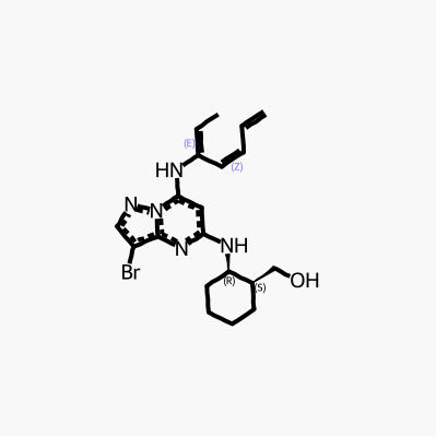 C=C/C=C\C(=C/C)Nc1cc(N[C@@H]2CCCC[C@@H]2CO)nc2c(Br)cnn12